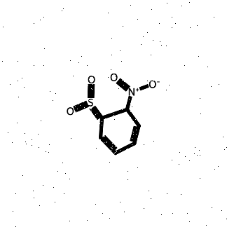 O=[N+]([O-])C1C=CC=CC1=S(=O)=O